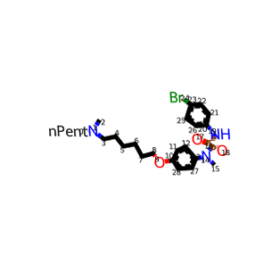 CCCCCN(C)CCCCCCOc1ccc(N(C)S(=O)(=O)Nc2ccc(Br)cc2)cc1